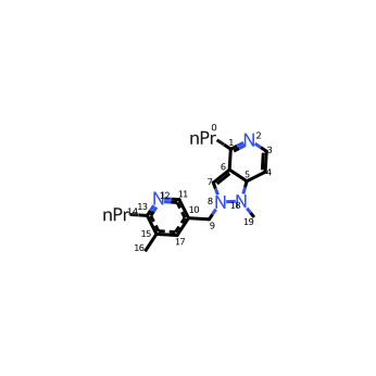 CCCC1=NC=CC2C1=CN(Cc1cnc(CCC)c(C)c1)N2C